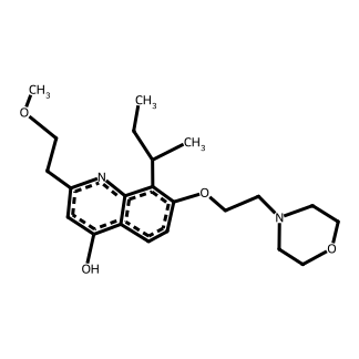 CCC(C)c1c(OCCN2CCOCC2)ccc2c(O)cc(CCOC)nc12